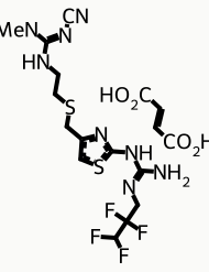 CNC(=NC#N)NCCSCc1csc(NC(N)=NCC(F)(F)C(F)F)n1.O=C(O)C=CC(=O)O